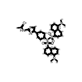 CC(=O)Nc1nc(-c2ccc(N(S(=O)(=O)c3cccc4c(N(C)C)cccc34)S(=O)(=O)c3cccc4c(N(C)C)cccc34)cc2)cs1